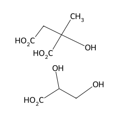 CC(O)(CC(=O)O)C(=O)O.O=C(O)C(O)CO